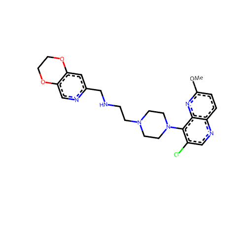 COc1ccc2ncc(Cl)c(N3CCN(CCNCc4cc5c(cn4)OCCO5)CC3)c2n1